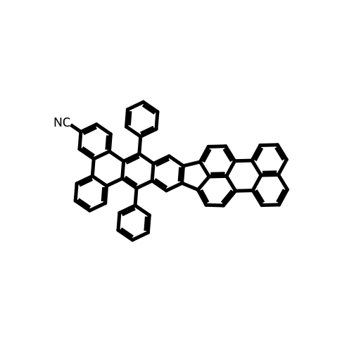 N#Cc1ccc2c(c1)c1ccccc1c1c(-c3ccccc3)c3cc4c(cc3c(-c3ccccc3)c21)-c1ccc2c3cccc5cccc(c6ccc-4c1c62)c53